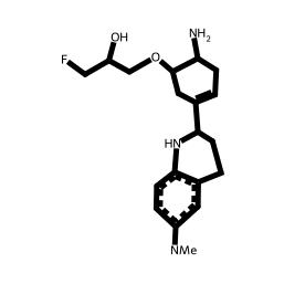 CNc1ccc2c(c1)CCC(C1=CCC(N)C(OCC(O)CF)C1)N2